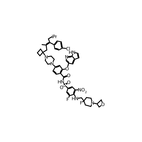 C/C(CC1(N2CCN(c3ccc(C(=O)NS(=O)(=O)c4cc(F)c(NCC5(F)CCN(C6COC6)CC5)c([N+](=O)[O-])c4)c(Oc4cnc5[nH]ccc5c4)c3)CC2)CCC1)=C(\CC(C)C)c1ccc(Cl)cc1